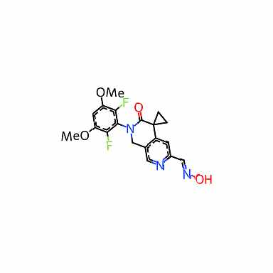 COc1cc(OC)c(F)c(N2Cc3cnc(/C=N/O)cc3C3(CC3)C2=O)c1F